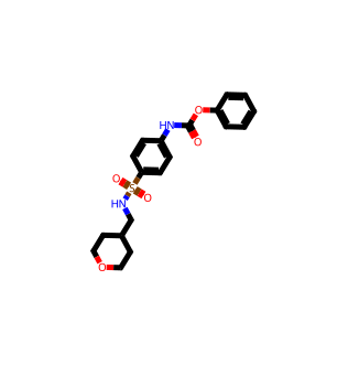 O=C(Nc1ccc(S(=O)(=O)NCC2CCOCC2)cc1)Oc1ccccc1